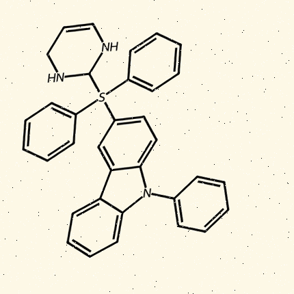 C1=CNC(S(c2ccccc2)(c2ccccc2)c2ccc3c(c2)c2ccccc2n3-c2ccccc2)NC1